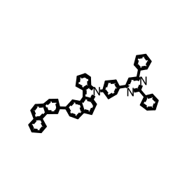 c1ccc(-c2cc(-c3ccc(-n4c5ccccc5c5c6cc(-c7ccc8ccc9ccccc9c8c7)ccc6ccc54)cc3)nc(-c3ccccc3)n2)cc1